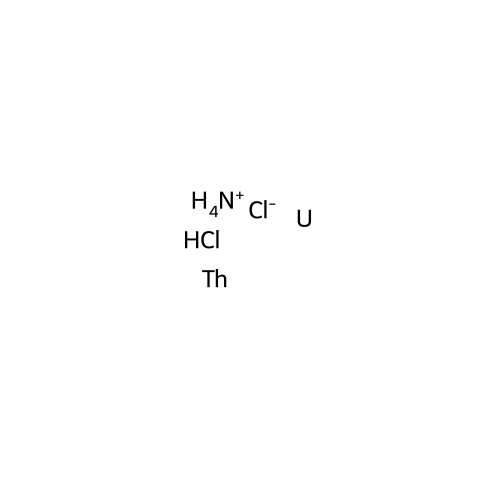 Cl.[Cl-].[NH4+].[Th].[U]